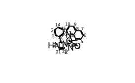 NS(=O)(=O)c1cccc2cccnc12.c1ccc(-c2ncc[nH]2)cc1